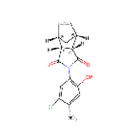 O=C1[C@@H]2[C@H](C(=O)N1c1cc(Cl)c([N+](=O)[O-])cc1O)[C@@H]1C=C[C@H]2C1